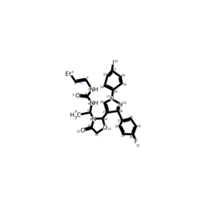 CC/C=C/NC(=O)NC(C)N1C(=O)COC1c1cn(-c2ccc(I)cc2)nc1-c1ccc(F)cc1